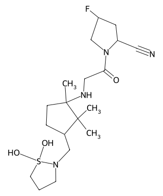 CC1(NCC(=O)N2CC(F)CC2C#N)CCC(CN2CCCS2(O)O)C1(C)C